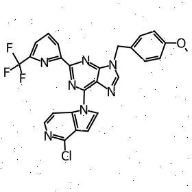 COc1ccc(Cn2cnc3c(-n4ccc5c(Cl)nccc54)nc(-c4cccc(C(F)(F)F)n4)nc32)cc1